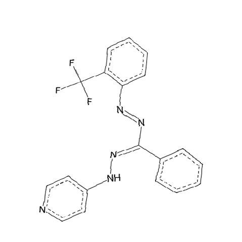 FC(F)(F)c1ccccc1N=NC(=NNc1ccncc1)c1ccccc1